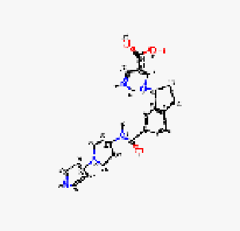 CN(C(=O)c1ccc2c(c1)C(N1C=C(C(=O)O)C=NC1)CC2)C1CCN(c2ccncc2)CC1